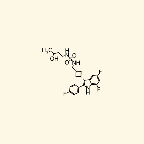 CC(O)CCNS(=O)(=O)NC[C@H]1C[C@H](c2c(-c3ccc(F)cc3)[nH]c3c(F)cc(F)cc32)C1